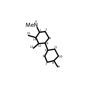 CNC1CCC(C2CCC(C)CC2)C(C)C1C